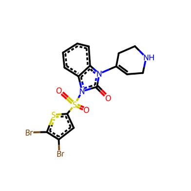 O=c1n(C2=CCNCC2)c2ccccc2n1S(=O)(=O)c1cc(Br)c(Br)s1